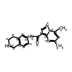 Cc1cc(C)n2ncc(C(=O)Nc3ccc4c(c3)CCNC4)c2n1